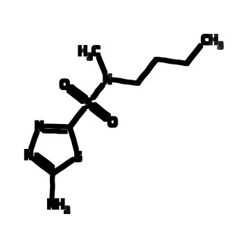 CCCCN(C)S(=O)(=O)c1nnc(N)s1